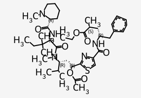 CCOC(=O)[C@@H](C)C[C@H](Cc1ccccc1)NC(=O)c1csc([C@@H](C[C@H](C(C)C)N(C)C(=O)[C@@H](NC(=O)[C@H]2CCCCN2C)C(C)(C)CC)OC(C)=O)n1